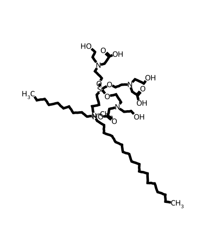 CCCCCCCCCCCCCCCCCC[N+](C)(CCCCCCCCCC)CCC[Si](OCCN(CCO)CC(=O)O)(OCCN(CCO)CC(=O)O)OCCN(CCO)CC(=O)O